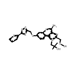 CCOCc1nc2c(N)nc3cc(OCc4nc(-c5cccs5)no4)ccc3c2n1CC(C)(C)O